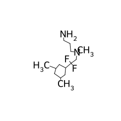 CC1CC(C)CC(C(F)(F)CN(C)CCCN)C1